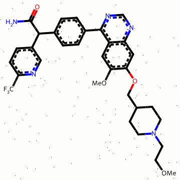 COCCN1CCC(COc2cc3ncnc(-c4ccc(C(C(N)=O)c5ccc(C(F)(F)F)nc5)cc4)c3cc2OC)CC1